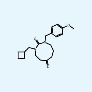 COc1ccc(CN2CCCC(=O)CCN(CC3CCC3)C2=O)cc1